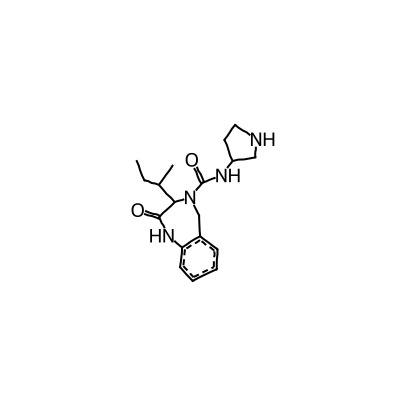 CCC(C)C1C(=O)Nc2ccccc2CN1C(=O)NC1CCNC1